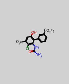 CCOC(=O)c1cccc(-c2c(O)cc([N+](=O)[O-])c(Cl)c2NC(N)=O)c1